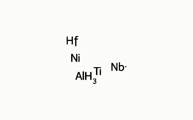 [AlH3].[Hf].[Nb].[Ni].[Ti]